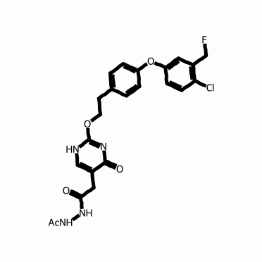 CC(=O)NNC(=O)Cc1c[nH]c(OCCc2ccc(Oc3ccc(Cl)c(CF)c3)cc2)nc1=O